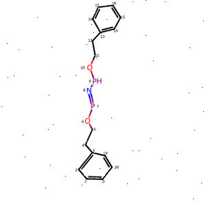 c1ccc(CCOP=NPOCCc2ccccc2)cc1